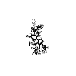 Cc1nnc2n1-c1c(ccc(-c3cc(F)cc4c3ccn4S(C)(=O)=O)c1C(F)(F)F)NC2(C)C